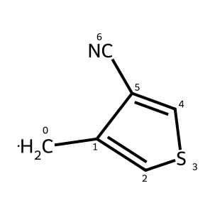 [CH2]c1cscc1C#N